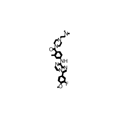 COc1ccc(-c2cnc3c(Nc4ccc(C(=O)N5CCN(CCN(C)C)CC5)c(C)c4)nccn23)cc1F